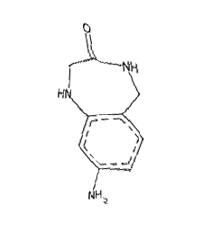 Nc1ccc2c(c1)NCC(=O)NC2